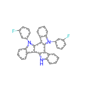 Fc1cccc(-n2c3ccccc3c3c4[nH]c5ccccc5c4c4c(c5ccccc5n4-c4cccc(F)c4)c32)c1